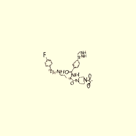 CS(=O)(=O)N1CCN(C(=O)[C@H](CCCN[C@@H]2C[C@H]2c2ccc(F)cc2)NC(=O)c2ccc(N3C=CNN3)cc2)CC1